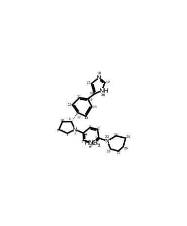 C=C(/C=C\C(=C/N)N1CCC[C@@H]1c1ccc(-c2cnc[nH]2)cc1)N1CCCCC1